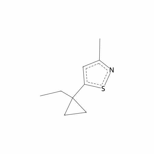 CCC1(c2cc(C)ns2)CC1